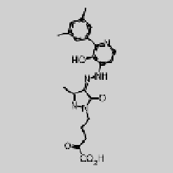 CC1=NN(CCCC(=O)C(=O)O)C(=O)/C1=N\Nc1ccnc(-c2cc(C)cc(C)c2)c1O